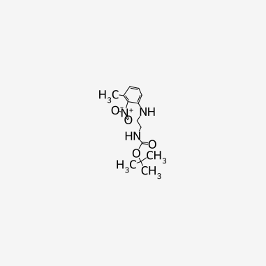 Cc1cccc(NCCNC(=O)OC(C)(C)C)c1[N+](=O)[O-]